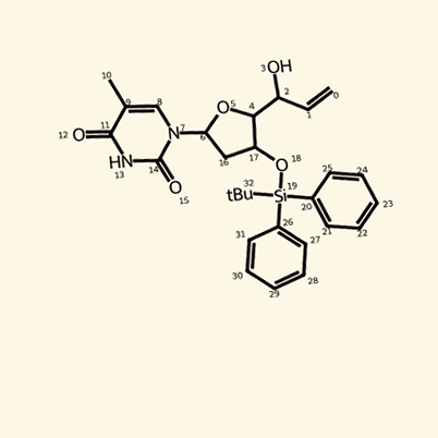 C=CC(O)C1OC(n2cc(C)c(=O)[nH]c2=O)CC1O[Si](c1ccccc1)(c1ccccc1)C(C)(C)C